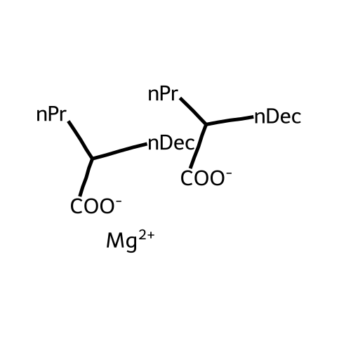 CCCCCCCCCCC(CCC)C(=O)[O-].CCCCCCCCCCC(CCC)C(=O)[O-].[Mg+2]